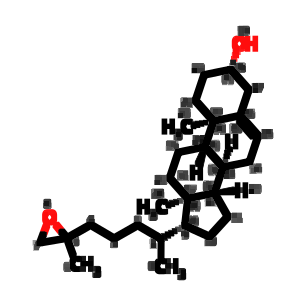 CC(CCCC1(C)CO1)[C@H]1CC[C@H]2[C@@H]3CC=C4C[C@@H](O)CC[C@]4(C)[C@H]3CC[C@]12C